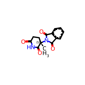 C[C@]1(N2C(=O)c3ccccc3C2=O)CCC(=O)NC1=O